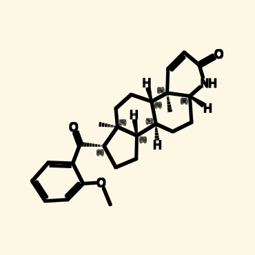 COc1ccccc1C(=O)[C@H]1CC[C@H]2[C@@H]3CC[C@H]4NC(=O)C=C[C@]4(C)[C@H]3CC[C@]12C